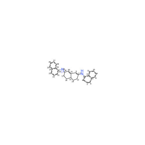 C1=C(Nc2cccc3ccccc23)CCC2CC/C(=N\c3cccc4ccccc34)C=C12